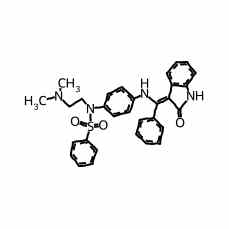 CN(C)CCN(c1ccc(NC(=C2C(=O)Nc3ccccc32)c2ccccc2)cc1)S(=O)(=O)c1ccccc1